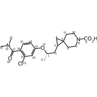 C[C@@H](CC1CC12CCN(C(=O)O)CC2)Oc1ccc(C(=O)N(C)C)c(Cl)c1